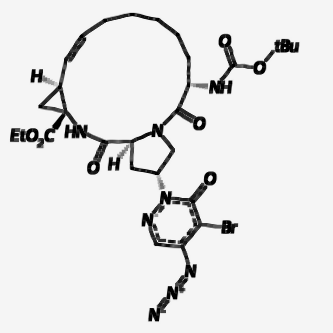 CCOC(=O)[C@@]12C[C@H]1/C=C\CCCCC[C@H](NC(=O)OC(C)(C)C)C(=O)N1C[C@H](n3ncc(N=[N+]=[N-])c(Br)c3=O)C[C@H]1C(=O)N2